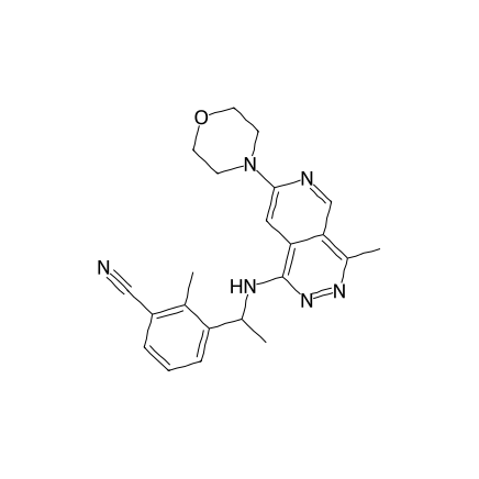 Cc1c(C#N)cccc1C(C)Nc1nnc(C)c2cnc(N3CCOCC3)cc12